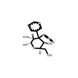 CC(=O)OC[C@@]1(Cl)O[C@H](S)[C@](Br)(OC(C)=O)C(N=[N+]=[N-])(c2cccnc2)[C@H]1OC(C)=O